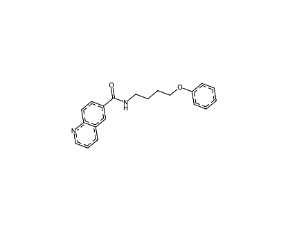 O=C(NCCCCOc1ccccc1)c1ccc2ncccc2c1